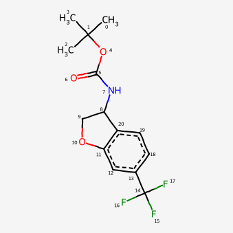 CC(C)(C)OC(=O)NC1COc2cc(C(F)(F)F)ccc21